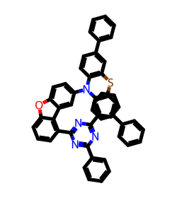 c1ccc(-c2ccc3c(c2)Sc2cc(-c4ccccc4)ccc2N3c2ccc3oc4cccc(-c5nc(-c6ccccc6)nc(-c6ccccc6)n5)c4c3c2)cc1